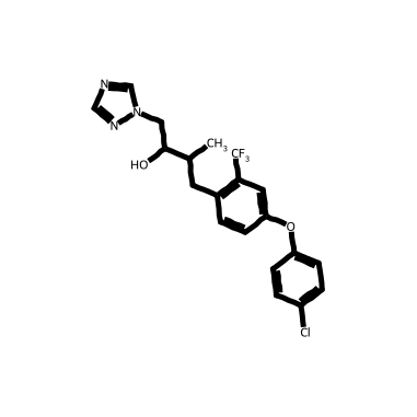 CC(Cc1ccc(Oc2ccc(Cl)cc2)cc1C(F)(F)F)C(O)Cn1cncn1